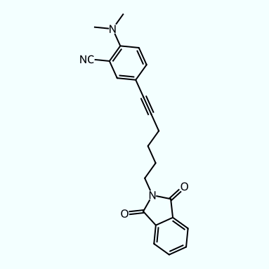 CN(C)c1ccc(C#CCCCCN2C(=O)c3ccccc3C2=O)cc1C#N